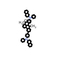 Cc1c2c3c(cccc3c3cc(-c4ccc(N(c5ccccc5)c5ccc6ccccc6c5)cc4)ccc13)C(C)(C)c1cc(N(c3ccccc3)c3ccc4ccccc4c3)ccc1-2